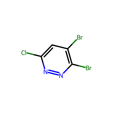 Clc1cc(Br)c(Br)nn1